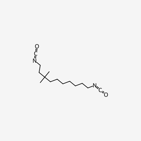 CC(C)(CCCCCCCN=C=O)CCN=C=O